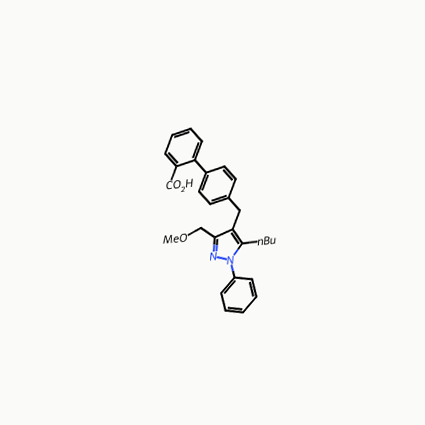 CCCCc1c(Cc2ccc(-c3ccccc3C(=O)O)cc2)c(COC)nn1-c1ccccc1